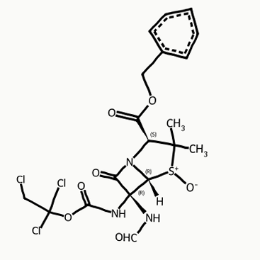 CC1(C)[C@H](C(=O)OCc2ccccc2)N2C(=O)[C@@](NC=O)(NC(=O)OC(Cl)(Cl)CCl)[C@H]2[S+]1[O-]